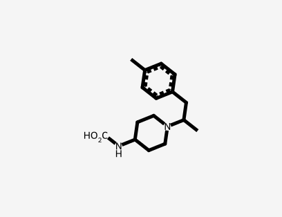 Cc1ccc(CC(C)N2CCC(NC(=O)O)CC2)cc1